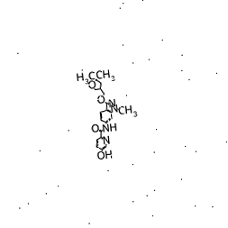 Cn1nc(OCC2COC(C)(C)C2)c2ccc(NC(=O)c3ccc(O)cn3)cc21